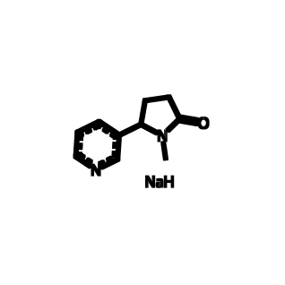 CN1C(=O)CCC1c1cccnc1.[NaH]